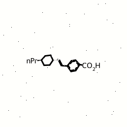 CCC[C@H]1CC[C@H](C=Cc2ccc(C(=O)O)cc2)CC1